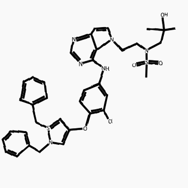 CC(C)(O)CN(CCn1ccc2ncnc(Nc3ccc(OC4=CN(Cc5ccccc5)S(Cc5ccccc5)=C4)c(Cl)c3)c21)S(C)(=O)=O